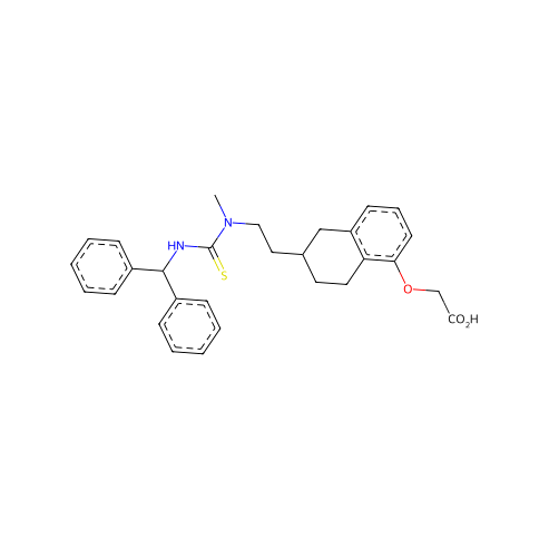 CN(CCC1CCc2c(cccc2OCC(=O)O)C1)C(=S)NC(c1ccccc1)c1ccccc1